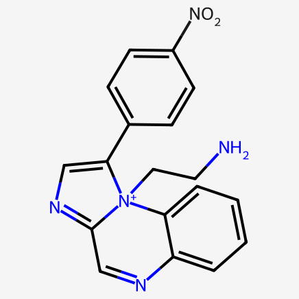 NCC[N+]12C(c3ccc([N+](=O)[O-])cc3)=CN=C1C=Nc1ccccc12